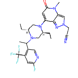 CC[C@H]1CN(C(C)c2cnc(F)cc2C(F)(F)F)[C@H](CC)CN1c1cc(=O)n(C)c2cn(CC#N)nc12